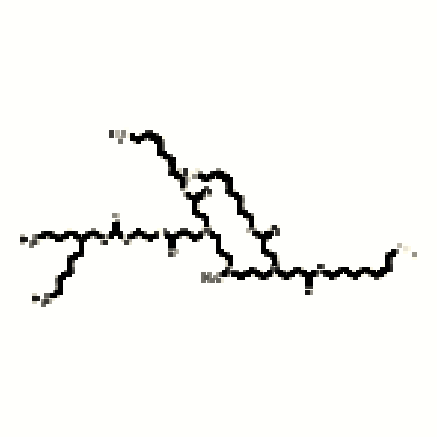 CC/C=C\CCCCOC(=O)CCN(CCCN(C)CCCN(CCC(=O)OCCCC/C=C\CC)CCC(=O)OCCOC(=O)OCC(CCCC)CCCCCC)CCC(=O)OCCCC/C=C\CC